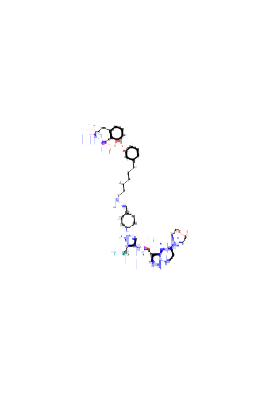 CN(CCCCCCc1cccc(Oc2cccc3c2C(=O)NC(=O)C3)c1)CC1CCC(n2cc(NC(=O)c3cnn4ccc(N5CCOCC5)nc34)c(C(F)F)n2)CC1